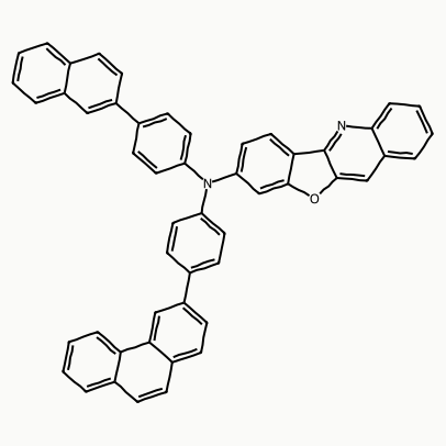 c1ccc2cc(-c3ccc(N(c4ccc(-c5ccc6ccc7ccccc7c6c5)cc4)c4ccc5c(c4)oc4cc6ccccc6nc45)cc3)ccc2c1